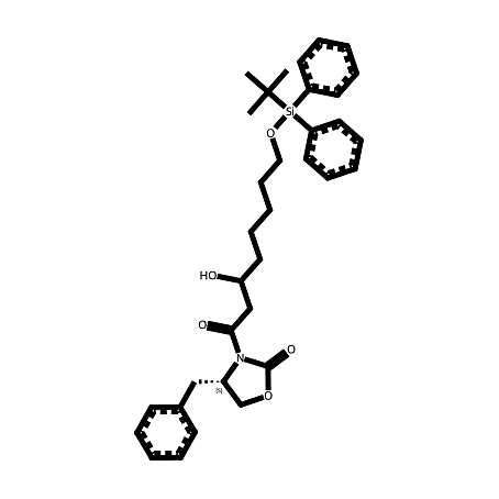 CC(C)(C)[Si](OCCCCCC(O)CC(=O)N1C(=O)OC[C@@H]1Cc1ccccc1)(c1ccccc1)c1ccccc1